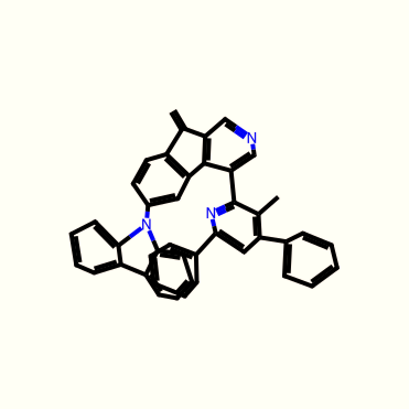 C=C1c2ccc(-n3c4ccccc4c4ccccc43)cc2-c2c1cncc2-c1nc(-c2ccccc2)cc(-c2ccccc2)c1C